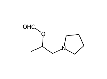 CC(CN1CCCC1)OC=O